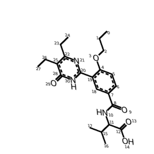 CCCOc1ccc(C(=O)NC(C(=O)O)C(C)C)cc1-c1nc(CC)c(CC)c(=O)[nH]1